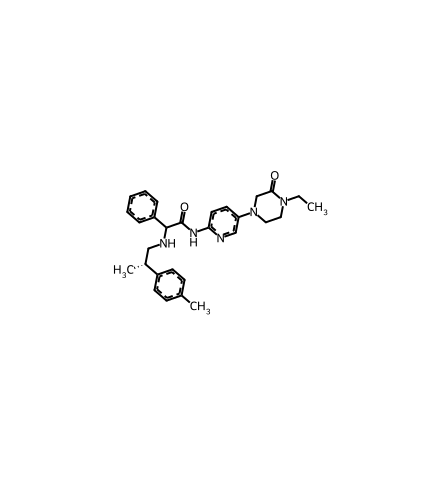 CCN1CCN(c2ccc(NC(=O)C(NC[C@@H](C)c3ccc(C)cc3)c3ccccc3)nc2)CC1=O